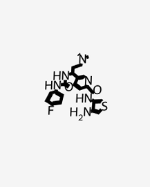 CN(C)CCC(NC(=O)Nc1ccc(F)cc1)c1ccc(C(=O)Nc2cscc2N)nc1